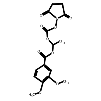 COc1ccc(C(=O)OC(C)OC(=O)ON2C(=O)CCC2=O)cc1OC